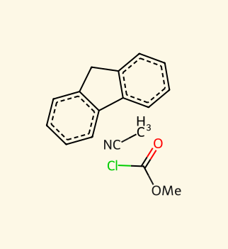 CC#N.COC(=O)Cl.c1ccc2c(c1)Cc1ccccc1-2